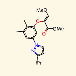 CO/C=C(\Oc1cc(-n2ccc(C(C)C)n2)cc(C)c1C)C(=O)OC